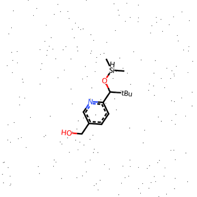 C[SiH](C)OC(c1ccc(CO)cn1)C(C)(C)C